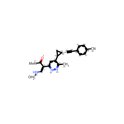 CNC(=O)/C(=C\NC=O)c1cc(C2C[C@@H]2C#Cc2ccc(C#N)cc2)c(C)nn1